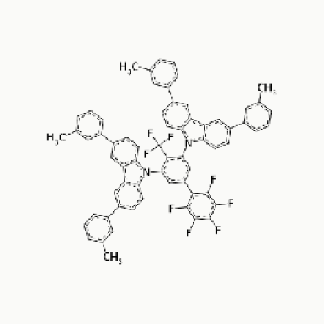 Cc1cccc(-c2ccc3c(c2)c2cc(-c4cccc(C)c4)ccc2n3-c2cc(-c3c(F)c(F)c(F)c(F)c3F)cc(-n3c4ccc(-c5cccc(C)c5)cc4c4cc(-c5cccc(C)c5)ccc43)c2C(F)(F)F)c1